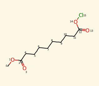 COC(=O)CCCCCCCCC(=O)OCl